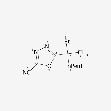 CCCCCC(C)(CC)c1nnc(C#N)o1